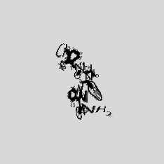 NC(=O)c1nn(CC(=O)N2CC[C@H]2C(=O)NCc2cccc(Cl)c2F)c2ccccc12